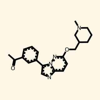 CC(=O)c1cccc(-c2cnc3ccc(OCC4CCCN(C)C4)nn23)c1